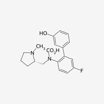 CN1CCC[C@H]1CN(C(=O)O)c1ccc(F)cc1-c1cccc(O)c1